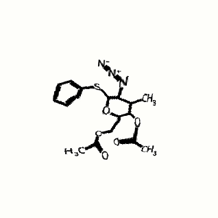 CC(=O)OCC1OC(Sc2ccccc2)C(N=[N+]=[N-])C(C)C1OC(C)=O